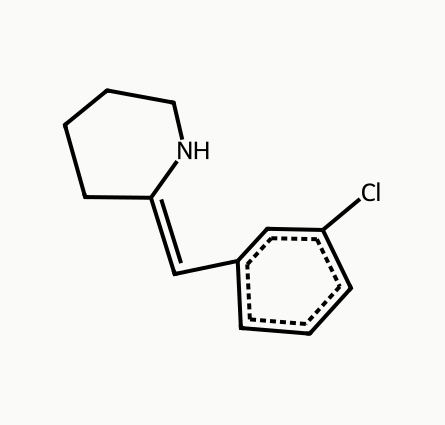 Clc1cccc(/C=C2/CCCCN2)c1